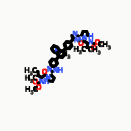 CC[C@H](C)[C@H](NC(=O)OC)C(=O)N1CCC[C@H]1c1nc2ccc(-c3ccc(-c4ccc(-c5cnc([C@@H]6CCCN6C(=O)[C@@H](NC(=O)OC)C(C)C)[nH]5)cc4)c4c3C3CCC4N3C)cc2[nH]1